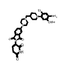 CCc1cc(N)c(OC)cc1N1CCC(CN2CCN(c3ccc4c(c3)C(=O)N(C3CCC(=O)NC3=O)C4=O)CC2)CC1